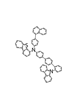 c1ccc(-n2c3ccccc3c3ccccc32)c(-c2ccc(-c3ccc(N(c4ccc(-c5cccc6ccccc56)cc4)c4cccc5c4sc4ccccc45)cc3)cc2)c1